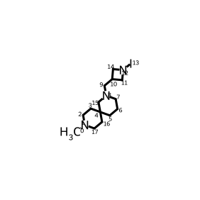 CN1CCC2(CCCN(CC3CN(I)C3)C2)CC1